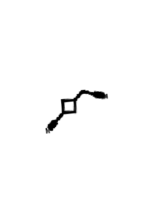 N#CCC1CC(C#N)C1